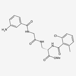 COC(=O)[C@H](CNC(=O)CNC(=O)c1cccc(N)c1)NC(=O)c1c(C)cccc1Cl